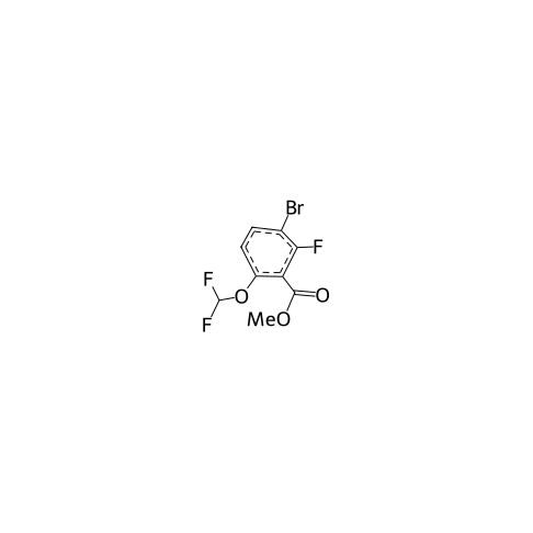 COC(=O)c1c(OC(F)F)ccc(Br)c1F